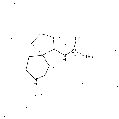 CC(C)(C)[S@@+]([O-])NC1CCCC12CCNCC2